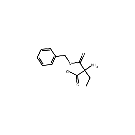 CCC(N)(C(=O)Cl)C(=O)OCc1ccccc1